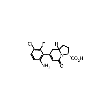 Nc1ccc(Cl)c(F)c1C1=CC(=O)N2[C@@H](CC[C@@H]2C(=O)O)C1